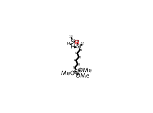 CO[Si](CCCCCC[Si](C)(C)O[SiH](C)C)(OC)OC